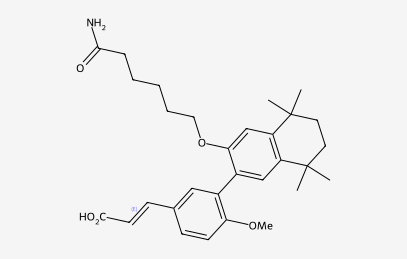 COc1ccc(/C=C/C(=O)O)cc1-c1cc2c(cc1OCCCCCC(N)=O)C(C)(C)CCC2(C)C